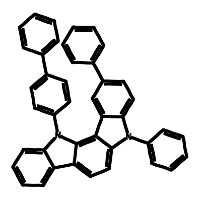 c1ccc(-c2ccc(-n3c4ccccc4c4ccc5c(c6cc(-c7ccccc7)ccc6n5-c5ccccc5)c43)cc2)cc1